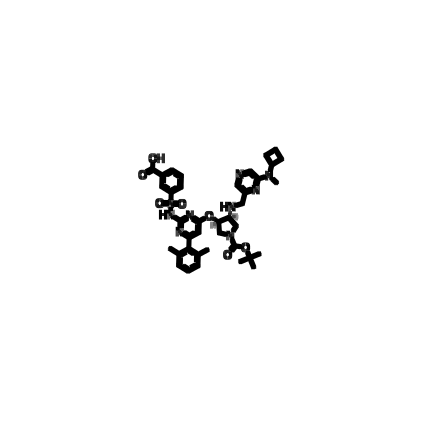 Cc1cccc(C)c1-c1cc(O[C@@H]2CN(C(=O)OC(C)(C)C)C[C@H]2NCc2cncc(N(C)C3CCC3)n2)nc(NS(=O)(=O)c2cccc(C(=O)O)c2)n1